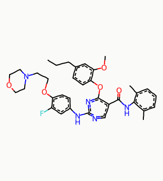 CCCc1ccc(Oc2nc(Nc3ccc(OCCN4CCOCC4)c(F)c3)ncc2C(=O)Nc2c(C)cccc2C)c(OC)c1